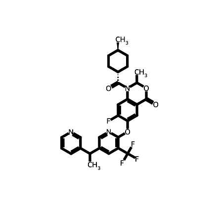 CC(c1cccnc1)c1cnc(Oc2cc3c(cc2F)N(C(=O)[C@H]2CC[C@H](C)CC2)C(C)OC3=O)c(C(F)(F)F)c1